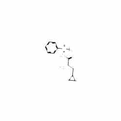 N[C@@H](CC1CC1)C(=O)N=S(N)(=O)c1ccccc1